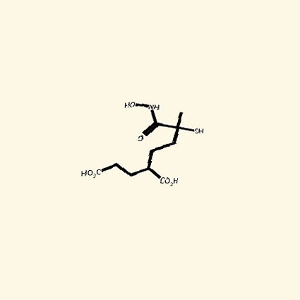 CC(S)(CCC(CCC(=O)O)C(=O)O)C(=O)NO